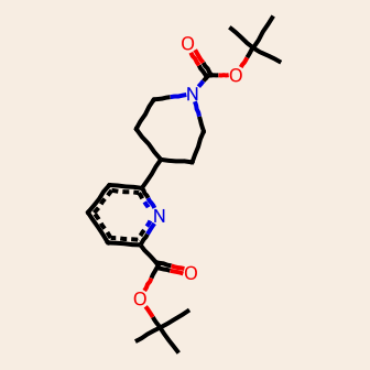 CC(C)(C)OC(=O)c1cccc(C2CCN(C(=O)OC(C)(C)C)CC2)n1